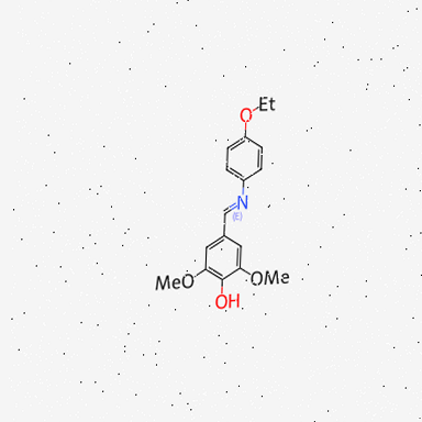 CCOc1ccc(/N=C/c2cc(OC)c(O)c(OC)c2)cc1